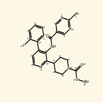 CC(C)c1ncc(C(=O)Nc2c(-c3ccccc3F)ccnc2C2CCN(C(=O)OC(C)(C)C)CC2)cn1